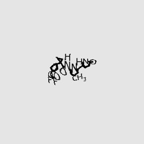 Cc1cc(NC(=O)C2(c3ccc4c(c3)OC(F)(F)O4)CC2)nc(-c2ccc(=O)[nH]c2)c1